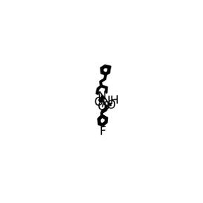 O=C(NS(=O)(=O)C=Cc1ccc(F)cc1)N1CCC(CCc2ccccc2)CC1